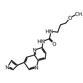 COCCCNC(=O)Nc1ccc2ncc(C3=CN=C3)cc2n1